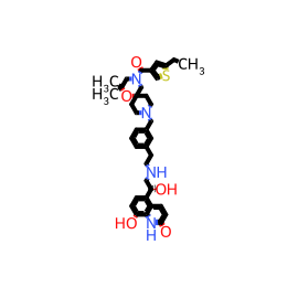 CCc1cc(C(=O)N2CC(C)(C)OC3(CCN(Cc4cccc(CCNC[C@H](O)c5ccc(O)c6[nH]c(=O)ccc56)c4)CC3)C2)cs1